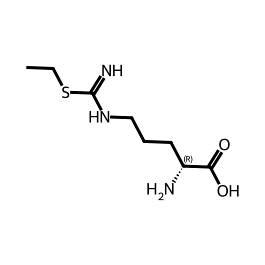 CCSC(=N)NCCC[C@@H](N)C(=O)O